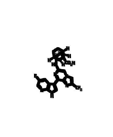 O=C(O)[C@H]1[C@H]2CC[C@H](CC2)[C@@H]1Nc1cn2cc(C(F)(F)F)nc2c(-c2c[nH]c3ncc(F)cc23)n1